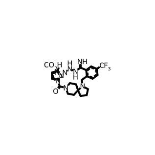 N=C(NNN)c1cc(C(F)(F)F)ccc1CN1CCCC12CCN(C(=O)n1ccc(C(=O)O)n1)CC2